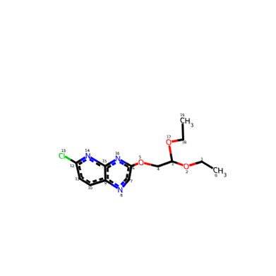 CCOC(COc1cnc2ccc(Cl)nc2n1)OCC